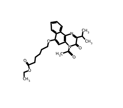 CCOC(=O)CCCCCOc1cc2c(nc(C(C)C)c(=O)n2C(C)=O)c2ccccc12